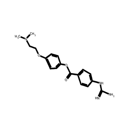 CN(C)CCOc1ccc(OC(=O)c2ccc(NC(=N)N)cc2)cc1